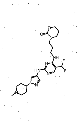 CN1CCC(n2cc(Nc3ncc(C(F)F)c(NCCCN4CCCOC4=O)n3)cn2)CC1